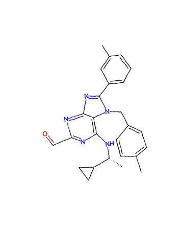 Cc1ccc(Cn2c(-c3cccc(C)c3)nc3nc(C=O)nc(N[C@H](C)C4CC4)c32)cc1